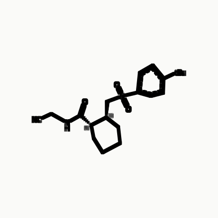 CC(C)(C)c1ccc(S(=O)(=O)C[C@H]2CCCC[C@@H]2C(=O)NCC#N)cc1